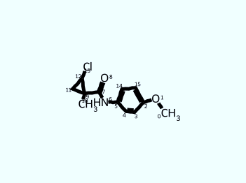 COc1ccc(NC(=O)C2(C)CC2Cl)cc1